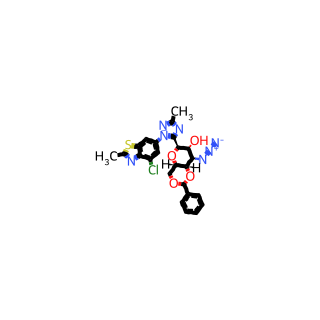 Cc1nc([C@@H]2O[C@@H]3COC(c4ccccc4)O[C@@H]3[C@H](N=[N+]=[N-])[C@H]2O)n(-c2cc(Cl)c3nc(C)sc3c2)n1